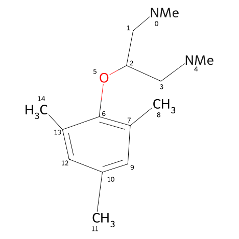 CNCC(CNC)Oc1c(C)cc(C)cc1C